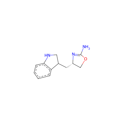 NC1=N[C@@H](CC2CNc3ccccc32)CO1